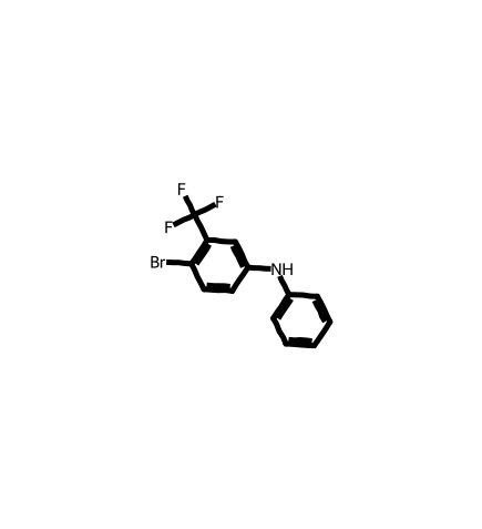 FC(F)(F)c1cc(Nc2ccccc2)ccc1Br